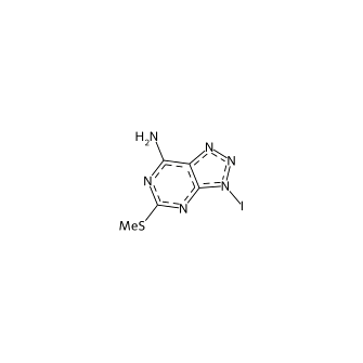 CSc1nc(N)c2nnn(I)c2n1